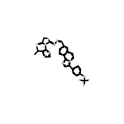 CC(C)c1scnc1N1C(=O)CS/C1=N\N=C/c1ccc2c(ccn3c(-c4ccc(OC(F)(F)F)cc4)cnc23)c1